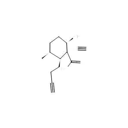 C#CCC[C@H]1[C@@H](C)CC[C@@H](O)[C@@]1(C#C)C(=O)O